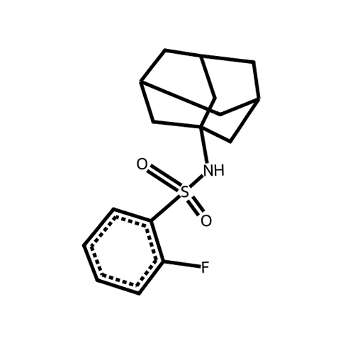 O=S(=O)(NC12CC3CC(CC(C3)C1)C2)c1ccccc1F